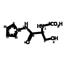 O=C(O)NC(CO)C(=O)Nn1cccc1